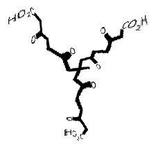 CC(CC(=O)CCC(=O)CC(=O)O)(CC(=O)CCC(=O)CC(=O)O)CC(=O)CCC(=O)CC(=O)O